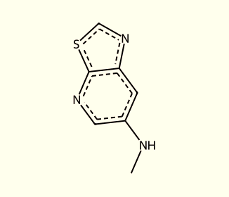 CNc1cnc2scnc2c1